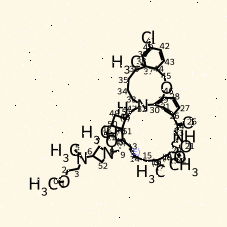 COCCN(C)C1CN(C[C@@]2(OC)/C=C/C[C@H](C)[C@@H](C)S(=O)(=O)NC(=O)c3ccc4c(c3)N(CCCCC3(C)C=C(Cl)C=CC3CO4)C[C@@H]3CC[C@H]32)C1